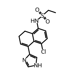 CCS(=O)(=O)Nc1ccc(Cl)c2c1CCC=C2c1c[nH]cn1